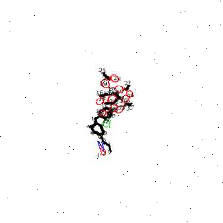 CC/C(=N\OC)c1ccc(Cc2cc([C@]34OC[C@](COC(C)=O)(O3)[C@@H](OC(C)=O)[C@H](OC(C)=O)[C@H]4OC(C)=O)ccc2Cl)cc1